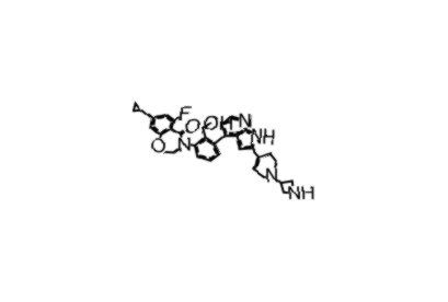 O=C1c2c(F)cc(C3CC3)cc2OCCN1c1cccc(-c2ccnc3[nH]c(C4=CCN(C5CNC5)CC4)cc23)c1CO